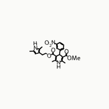 COC(=O)C1=C(C)NC(C)=C(C(=O)OCCc2cc(C)[nH]c2C)C1c1cccc([N+](=O)[O-])c1